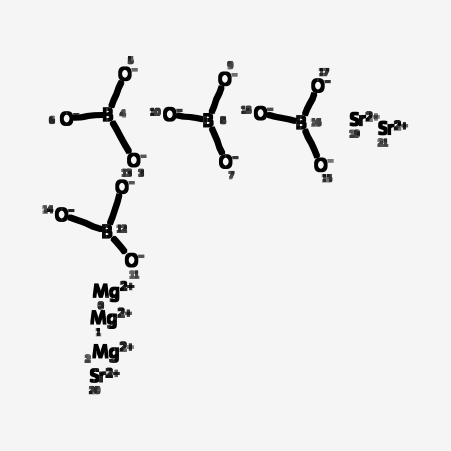 [Mg+2].[Mg+2].[Mg+2].[O-]B([O-])[O-].[O-]B([O-])[O-].[O-]B([O-])[O-].[O-]B([O-])[O-].[Sr+2].[Sr+2].[Sr+2]